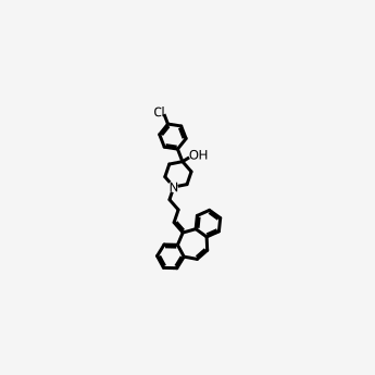 OC1(c2ccc(Cl)cc2)CCN(CCC=C2c3ccccc3C=Cc3ccccc32)CC1